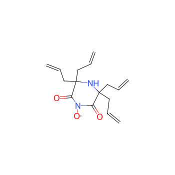 C=CCC1(CC=C)NC(CC=C)(CC=C)C(=O)N([O])C1=O